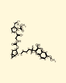 CC[C@@H]1CCN(C(=O)CNC(=O)OC2CC3CC3[C@H]2CCCCC(F)(F)c2nc3ccc(OC)cc3nc2O)[C@@H]1C(C)=O